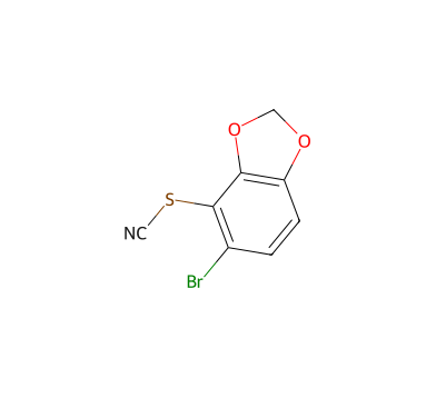 N#CSc1c(Br)ccc2c1OCO2